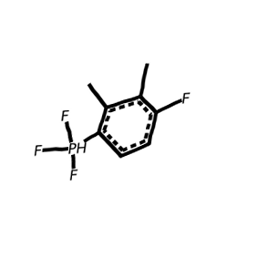 Cc1c(F)ccc([PH](F)(F)F)c1C